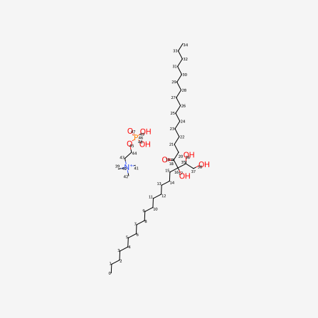 CCCCCCCCCCCCCCCCC(O)(C(=O)CCCCCCCCCCCCCCC)C(O)CO.C[N+](C)(C)CCOP(=O)(O)O